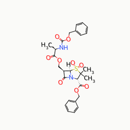 C[C@@H](NC(=O)OCc1ccccc1)C(=O)OC[C@@H]1C(=O)N2[C@@H](C(=O)OCc3ccccc3)C(C)(C)S(=O)(=O)[C@H]12